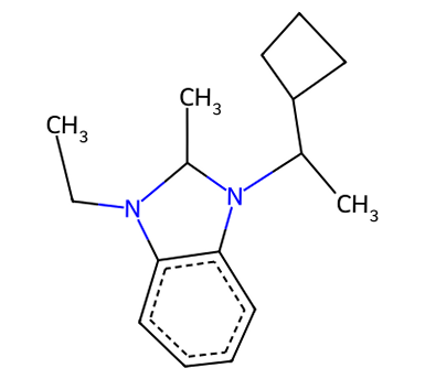 CCN1c2ccccc2N(C(C)C2CCC2)C1C